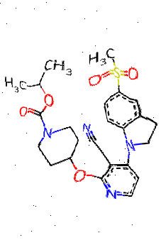 CC(C)OC(=O)N1CCC(Oc2nccc(N3CCc4cc(S(C)(=O)=O)ccc43)c2C#N)CC1